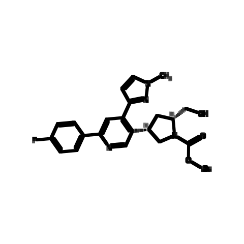 Cn1ccc(-c2cc(-c3ccc(F)cc3)ncc2[C@@H]2C[C@H](CO)N(C(=O)OC(C)(C)C)C2)n1